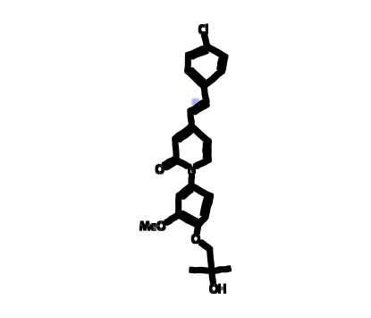 COc1cc(-n2ccc(/C=C/c3ccc(Cl)cc3)cc2=O)ccc1OCC(C)(C)O